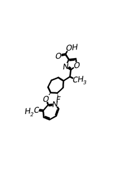 C=C1C=CC=CN=C1O[C@@H]1CCCC(C(C)c2nc(C(=O)O)co2)C[C@@H]1F